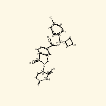 O=C1CC[C@@H](N2Cc3cc(C(=O)N[C@H](c4ccc(F)cc4)C4CCC4)ccc3C2=O)C(=O)N1